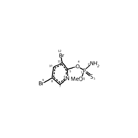 COP(N)(=S)Oc1ncc(Br)cc1Br